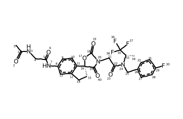 CC(=O)NCC(=O)Nc1ccc2c(c1)CC[C@@]21OC(=O)N(CC(=O)N(Cc2ccc(F)cc2)[C@@H](C)C(F)(F)F)C1=O